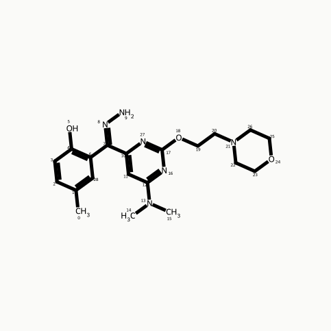 Cc1ccc(O)c(C(=NN)c2cc(N(C)C)nc(OCCN3CCOCC3)n2)c1